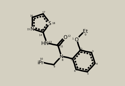 CCOc1ccccc1N(CC(C)C)C(=O)Nc1nccs1